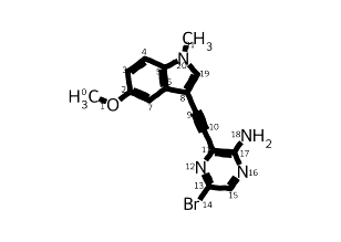 COc1ccc2c(c1)c(C#Cc1nc(Br)cnc1N)cn2C